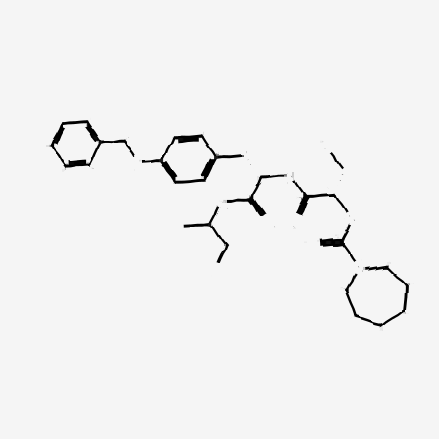 CCC(CO)NC(=O)[C@H](Cc1ccc(OCc2ccccc2)cc1)NC(=O)[C@H](CC(C)C)NC(=O)N1CCCCCC1